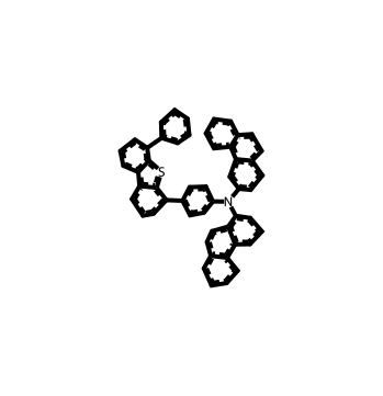 c1ccc(-c2cccc3c2sc2c(-c4ccc(N(c5ccc6ccc7ccccc7c6c5)c5cccc6c5ccc5ccccc56)cc4)cccc23)cc1